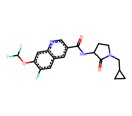 O=C(NC1CCN(CC2CC2)C1=O)c1cnc2cc(OC(F)F)c(F)cc2c1